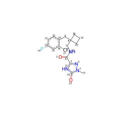 Cn1nc(C(=O)NCC2(Cc3ccc(F)cc3C(F)(F)F)CCC2)[nH]c1=O